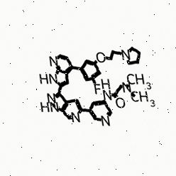 CN(C)CC(=O)Nc1cncc(-c2cc3c(-c4cc5c(-c6cc(F)cc(OCCN7CCCC7)c6)ccnc5[nH]4)n[nH]c3cn2)c1